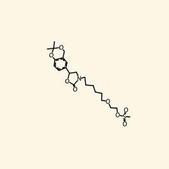 CC1(C)OCc2cc(C3CN(CCCCCCOCCOS(C)(=O)=O)C(=O)O3)ccc2O1